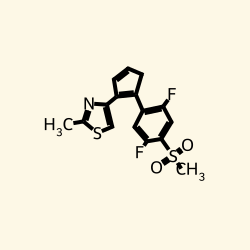 Cc1nc(C2=C(c3cc(F)c(S(C)(=O)=O)cc3F)CC=C2)cs1